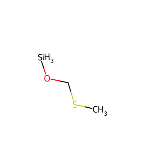 CSCO[SiH3]